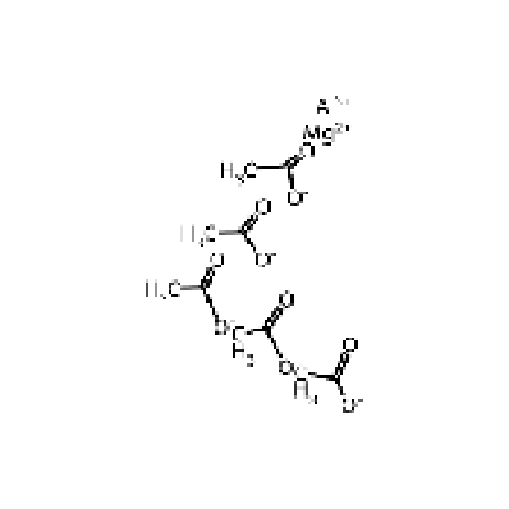 CC(=O)[O-].CC(=O)[O-].CC(=O)[O-].CC(=O)[O-].CC(=O)[O-].[Al+3].[Mg+2]